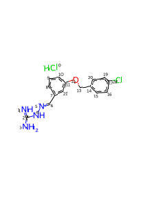 Cl.N=C(N)NN=Cc1cccc(OCc2ccc(Cl)cc2)c1